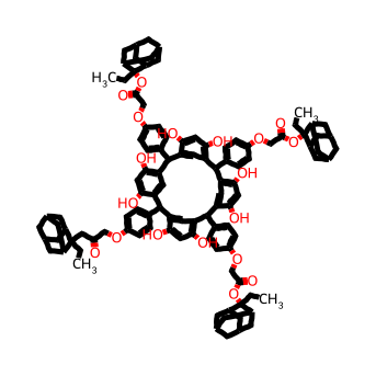 CCC1(CC(=O)COc2ccc(C3c4cc(c(O)cc4O)C(c4ccc(OCC(=O)OC5(CC)C6CC7CC(C6)CC5C7)cc4)c4cc(c(O)cc4O)C(c4ccc(OCC(=O)OC5(CC)C6CC7CC(C6)CC5C7)cc4)c4cc(c(O)cc4O)C(c4ccc(OCC(=O)OC5(CC)C6CC7CC(C6)CC5C7)cc4)c4cc3c(O)cc4O)cc2)C2CC3CC(C2)CC1C3